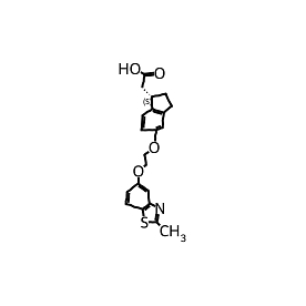 Cc1nc2cc(OCCOc3ccc4c(c3)CC[C@H]4CC(=O)O)ccc2s1